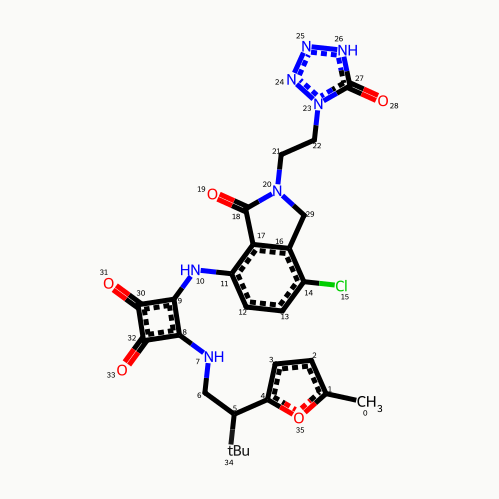 Cc1ccc(C(CNc2c(Nc3ccc(Cl)c4c3C(=O)N(CCn3nn[nH]c3=O)C4)c(=O)c2=O)C(C)(C)C)o1